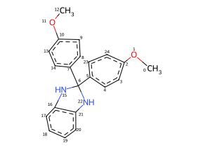 COc1ccc(C2(c3ccc(OC)cc3)Nc3ccccc3N2)cc1